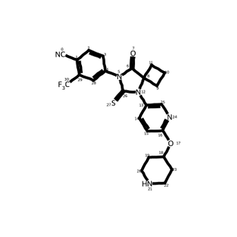 N#Cc1ccc(N2C(=O)C3(CCC3)N(c3ccc(OC4CCNCC4)nc3)C2=S)cc1C(F)(F)F